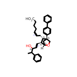 CC(c1ccccc1)[C@@H](O)/C=C/[C@@H]1[C@@H]2C[C@@](c3ccc(-c4ccccc4)cc3)(CO2)[C@H]1C/C=C\CCCC(=O)O